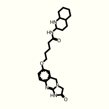 O=C1CN2Cc3cc(OCCCCC(=O)NC4CCC5CCCCC5N4)ccc3N=C2N1